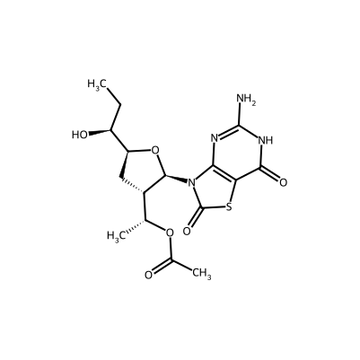 CC[C@H](O)[C@@H]1C[C@@H]([C@@H](C)OC(C)=O)[C@H](n2c(=O)sc3c(=O)[nH]c(N)nc32)O1